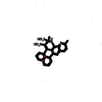 Cc1ccc2cc(-c3ccccc3)c3c(c2n1)NC(C)(S(=O)(=O)O)C(S(=O)(=O)O)=C3c1ccccc1